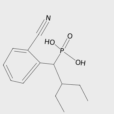 CCC(CC)C(c1ccccc1C#N)P(=O)(O)O